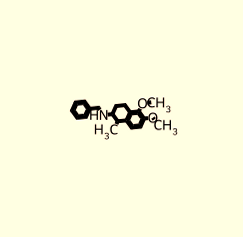 COc1ccc2c(c1OC)CCC(NCc1ccccc1)C2C